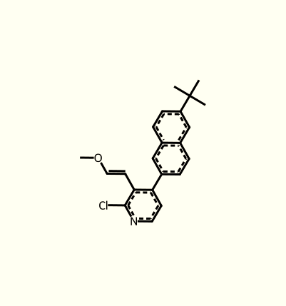 COC=Cc1c(-c2ccc3cc(C(C)(C)C)ccc3c2)ccnc1Cl